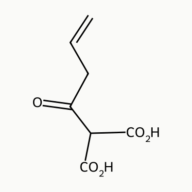 C=CCC(=O)C(C(=O)O)C(=O)O